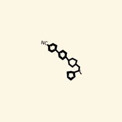 C[C@H](CC1CCC(c2ccc(-c3ccc(C#N)cc3)cc2)CC1)c1ccccc1